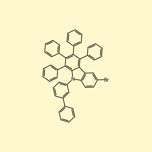 Brc1ccc2c(c1)c1c(-c3ccccc3)c(-c3ccccc3)c(-c3ccccc3)c(-c3ccccc3)c1n2-c1cccc(-c2ccccc2)c1